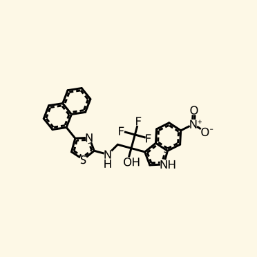 O=[N+]([O-])c1ccc2c(C(O)(CNc3nc(-c4cccc5ccccc45)cs3)C(F)(F)F)c[nH]c2c1